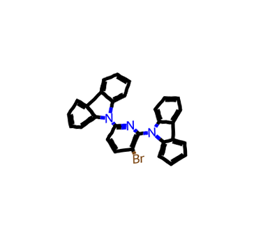 Brc1ccc(-n2c3ccccc3c3ccccc32)nc1-n1c2ccccc2c2ccccc21